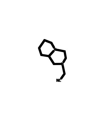 N#CCN1CCN2CCCCC2C1